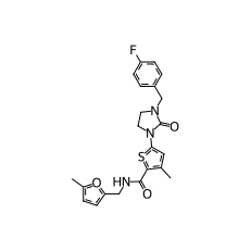 Cc1ccc(CNC(=O)c2sc(N3CCN(Cc4ccc(F)cc4)C3=O)cc2C)o1